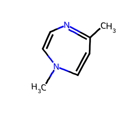 CC1=NC=CN(C)C=C1